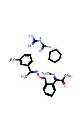 C1CCCCC1.CO/N=C(/C(=O)OC)c1ccccc1CO/N=C(\C)c1cccc(C(F)(F)F)c1.N=C(N)NC(=N)N